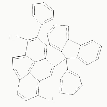 Nc1ccc2ccc3c(N)c(-c4ccccc4)cc4c(C5(c6ccccc6)c6ccccc6-c6ccccc65)cc1c2c43